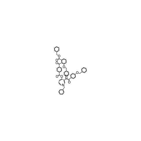 O=C(NC1=CN(Cc2ccccc2)C=CC=C1OC(=O)c1ccc(C(=O)c2c(OCc3ccccc3)cccc2C(=O)OCc2ccccc2)cc1)c1ccc(OCc2ccccc2)cc1